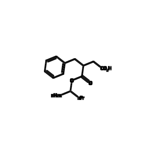 CCCCCCC(CCC)OC(=O)C(CC(=O)O)Cc1ccccc1